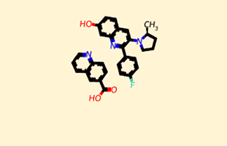 C[C@H]1CCCN1c1cc2ccc(O)cc2nc1-c1ccc(F)cc1.O=C(O)c1ccc2ncccc2c1